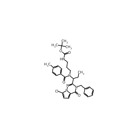 CCC(c1nn2c(Cl)ccc2c(=O)n1Cc1ccccc1)N(CCCNC(=O)OC(C)(C)C)C(=O)c1ccc(C)cc1